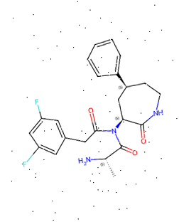 C[C@H](N)C(=O)N(C(=O)Cc1cc(F)cc(F)c1)[C@H]1C[C@@H](c2ccccc2)CCNC1=O